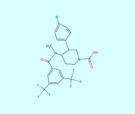 CN(C(=O)c1cc(C(F)(F)F)cc(C(F)(F)F)c1)C1CCN(C(=O)O)CC1c1ccc(Br)cc1